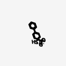 O=[N+]([O-])C1(S)C=CC(c2ccccc2)=CC1